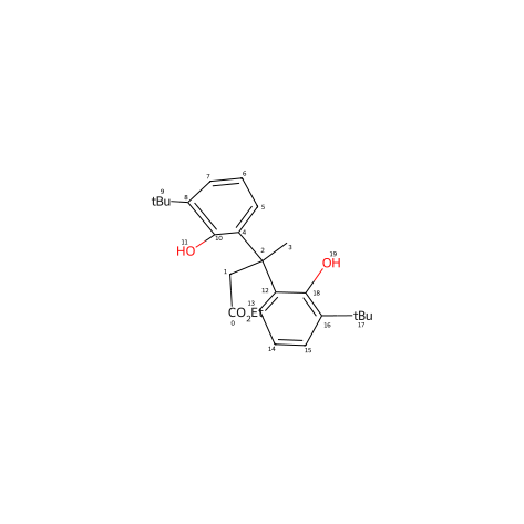 CCOC(=O)CC(C)(c1cccc(C(C)(C)C)c1O)c1cccc(C(C)(C)C)c1O